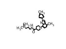 Cc1ccc(-n2cc3c(C)ccc(N4CCC(C(=O)NCCCN(C)C)CC4)c3n2)cc1